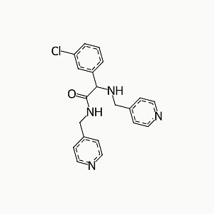 O=C(NCc1ccncc1)C(NCc1ccncc1)c1cccc(Cl)c1